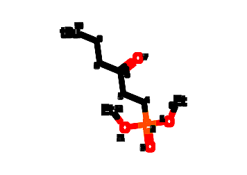 CCOP(=O)(CCC(=O)CCC(C)(C)C)OCC